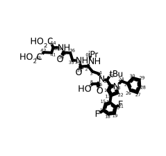 CC(C)NC(CCN(C(=O)CO)C(c1cc(-c2cc(F)ccc2F)cn1Cc1ccccc1)C(C)(C)C)C(=O)NCCC(=O)NC(CCC(=O)O)C(=O)O